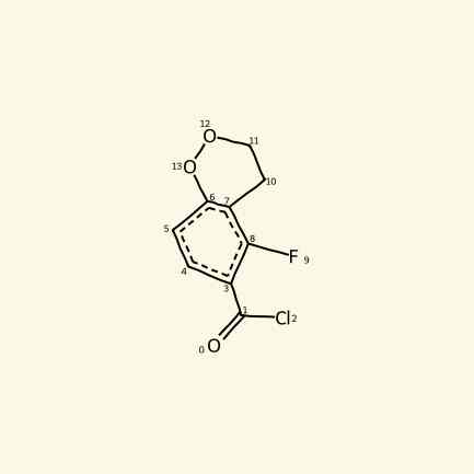 O=C(Cl)c1ccc2c(c1F)CCOO2